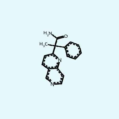 CC(C(N)=O)(c1ccccc1)c1ccc2cnccc2n1